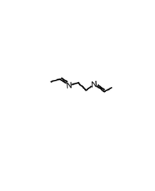 CC=NCCN=CC